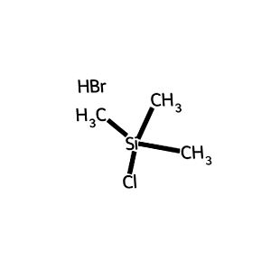 Br.C[Si](C)(C)Cl